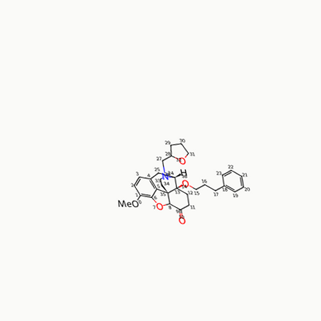 COc1ccc2c3c1OC1C(=O)CC[C@@]4(OCCCc5ccccc5)[C@@H](C2)N(CC2CCCO2)CC[C@]314